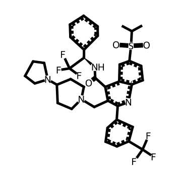 CC(C)S(=O)(=O)c1ccc2nc(-c3cccc(C(F)(F)F)c3)c(CN3CCC(N4CCCC4)CC3)c(C(=O)N[C@H](c3ccccc3)C(F)(F)F)c2c1